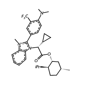 CC(C)[C@@H]1CC[C@@H](C)C[C@H]1OC(=O)[C@@H](C1CC1)n1c(-c2ccc(N(C)C)c(C(F)(F)F)c2)[n+](C)c2ccccc21